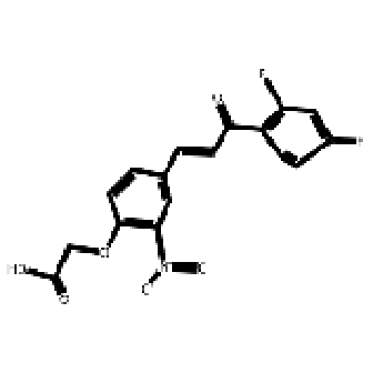 O=C(O)COc1ccc(C=CC(=O)c2ccc(F)cc2F)cc1[N+](=O)[O-]